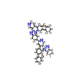 c1ccc2c(c1)nc1c3cnc(-c4ccc5nc6c7cnccc7c7cc8sc9ccccc9c8cc7n6c5c4)cc3c3ccc4c5ccccc5sc4c3n21